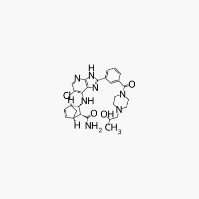 CC(O)CN1CCN(C(=O)c2cccc(-c3nc4c(N[C@H]5[C@@H](C(N)=O)[C@@H]6C=C[C@H]5C6)c(Cl)cnc4[nH]3)c2)CC1